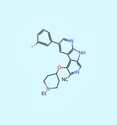 CCN1CCC(Oc2c(C#N)ncc3[nH]c4ncc(-c5cccc(F)c5)cc4c23)CC1